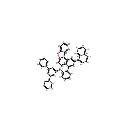 c1ccc(-c2cc(-c3ccccc3)cc(N(c3ccc4c(c3)oc3ccccc34)c3ccccc3-c3cccc(-c4cccc5ccccc45)c3)c2)cc1